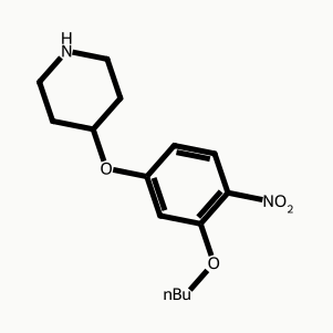 CCCCOc1cc(OC2CCNCC2)ccc1[N+](=O)[O-]